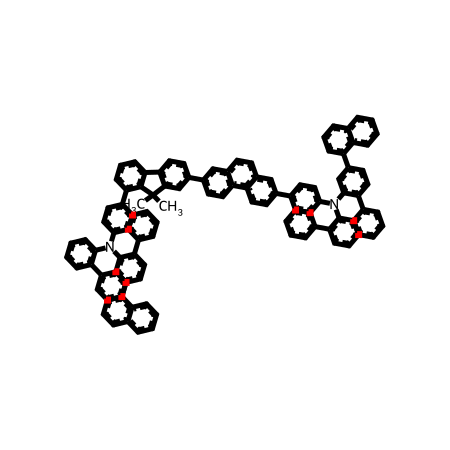 CC1(C)c2cc(-c3ccc4c(ccc5cc(-c6ccc(N(c7ccccc7-c7ccccc7)c7cc(-c8cccc9ccccc89)ccc7-c7ccccc7)cc6)ccc54)c3)ccc2-c2cccc(-c3ccc(N(c4ccccc4-c4ccccc4)c4cc(-c5cccc6ccccc56)ccc4-c4ccccc4)cc3)c21